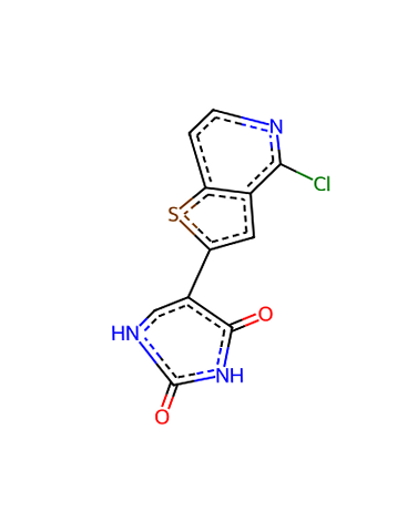 O=c1[nH]cc(-c2cc3c(Cl)nccc3s2)c(=O)[nH]1